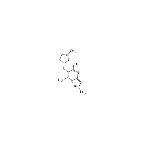 Cc1cc2nc(C)c(CC3CCN(C)C3)c(C)n2c1